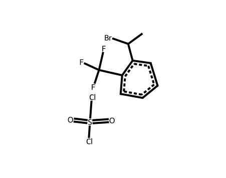 CC(Br)c1ccccc1C(F)(F)F.O=S(=O)(Cl)Cl